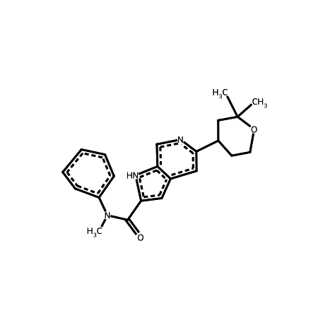 CN(C(=O)c1cc2cc(C3CCOC(C)(C)C3)ncc2[nH]1)c1ccccc1